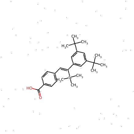 CC(C)(C)c1cc(C(=Cc2ccc(C(=O)O)cc2)[Si](C)(C)C)cc(C(C)(C)C)c1